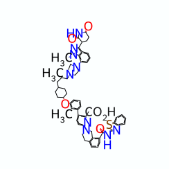 Cc1c(OC2CCC(C[C@H](C)CN3CCN(c4cccc5c(C6CCC(=O)NC6=O)nn(C)c45)CC3)CC2)cccc1-c1ccc(N2CCc3cccc(C(=O)Nc4nc5ccccc5s4)c3C2)nc1C(=O)O